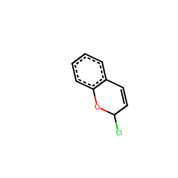 ClC1C=Cc2ccccc2O1